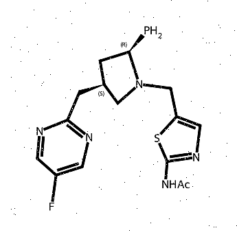 CC(=O)Nc1ncc(CN2C[C@@H](Cc3ncc(F)cn3)C[C@H]2P)s1